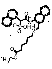 COC(=O)CCCCCNCc1cc2ccccc2cc1NC(=O)C(c1cccc2ccccc12)P(=O)(O)O